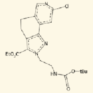 CCOC(=O)c1c2c(nn1CCNC(=O)OC(C)(C)C)-c1cc(Cl)ncc1CC2